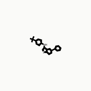 CC(C)(C)c1ccc(Nc2csc3ccc(-c4ccccc4)cc23)cc1